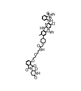 Cc1cc(Nc2ncc(Cl)c(Nc3ccccc3S(=O)(=O)C(C)C)n2)c(OC(C)C)cc1C1CCN(CC(=O)NCCOCCOc2cccc3c2C(=O)N(C2CCC(=O)NC2=O)C3=O)CC1